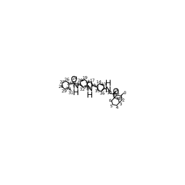 CC1CC2CCCC(C(=O)CNc3ccc(-c4cc5ccc(NC(=O)C6CCCCC6C)cc5[nH]4)cc3)(C1)C2